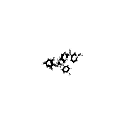 CC(=O)N1CCC[C@@H](Nc2ncc3nc(Nc4c(F)cc(Cl)cc4F)n([C@H]4CC[C@@H](C)CC4)c3n2)C1